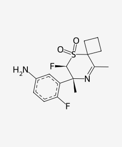 CC1=N[C@](C)(c2cc(N)ccc2F)[C@@H](F)S(=O)(=O)C12CCC2